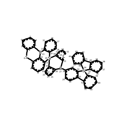 c1ccc2c(c1)Sc1cccc3c1B2c1ccccc1[Si]31c2ccccc2B(c2ccc3c(c2)[Si]2(c4ccccc4-c4ccccc42)c2ccccc2-3)c2ccccc21